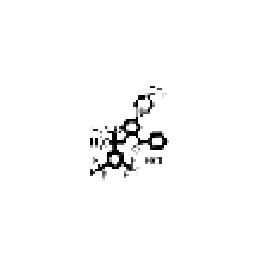 CN1CCN(c2ccc(CC(C)(C(N)=O)c3cc(C(F)(F)F)cc(C(F)(F)F)c3)c(C(=O)c3ccccc3)c2)CC1.Cl